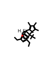 CCc1cc(CC)cc([SiH2]C2=C(C)C(C)=C(C)C2(C)C2(C(C)(C)C)C=CC=CC2)c1